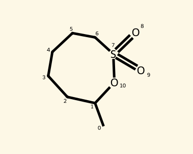 CC1CCCCCS(=O)(=O)O1